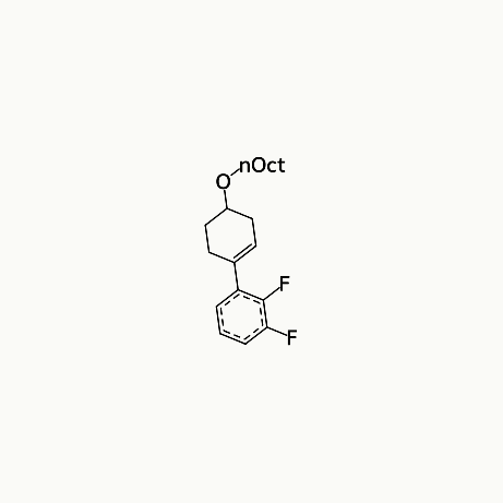 CCCCCCCCOC1CC=C(c2cccc(F)c2F)CC1